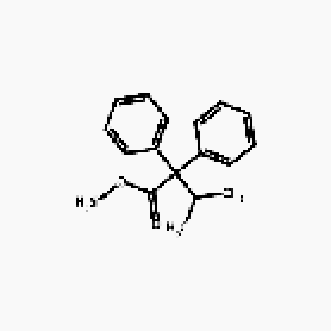 CC(C)C(C(=O)O[SiH3])(c1ccccc1)c1ccccc1